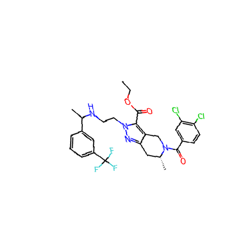 CCOC(=O)c1c2c(nn1CCNC(C)c1cccc(C(F)(F)F)c1)C[C@@H](C)N(C(=O)c1ccc(Cl)c(Cl)c1)C2